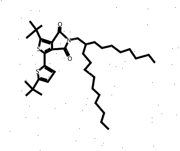 CCCCCCCCCCC(CCCCCCCC)CN1C(=O)c2c(-c3ccc(C(C)(C)C)s3)sc(C(C)(C)C)c2C1=O